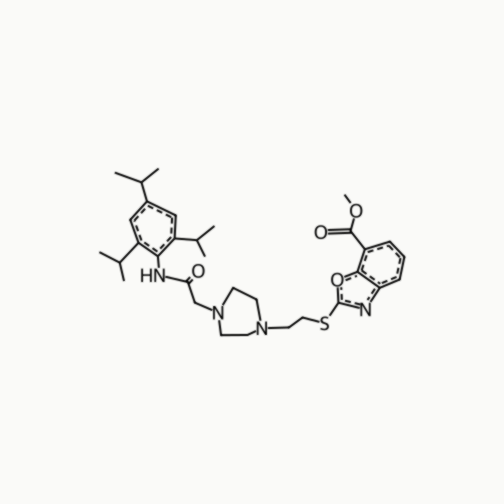 COC(=O)c1cccc2nc(SCCN3CCN(CC(=O)Nc4c(C(C)C)cc(C(C)C)cc4C(C)C)CC3)oc12